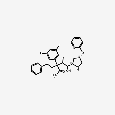 CC(C(O)[C@H]1C[C@H](Oc2ccccn2)CN1)C(CCc1ccccc1)(C(N)=O)c1cc(F)cc(F)c1